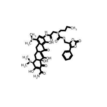 CCCCN(CC(=O)Nc1cc(N(C)C)c2c(c1O)C(=O)C1=C(O)[C@]3(O)C(=O)C(C(N)=O)=C(O)[C@@H](N(C)C)C3CC1C2)C(=O)OCc1oc(=O)oc1-c1ccccc1